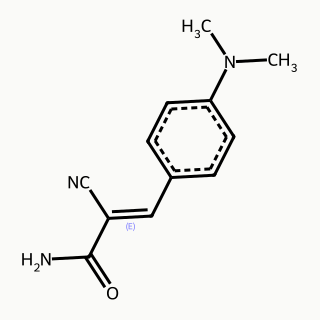 CN(C)c1ccc(/C=C(\C#N)C(N)=O)cc1